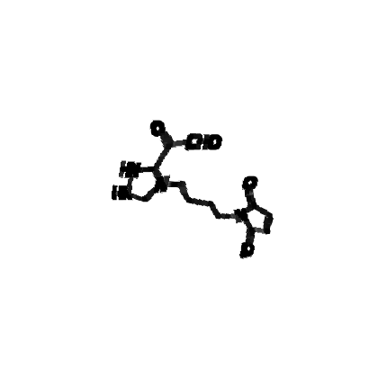 O=CC(=O)C1NNCN1CCCCN1C(=O)C=CC1=O